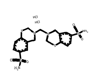 Cl.Cl.NS(=O)(=O)c1ccc2c(c1)CN(CN1CSc3ccc(S(N)(=O)=O)cc3C1)CS2